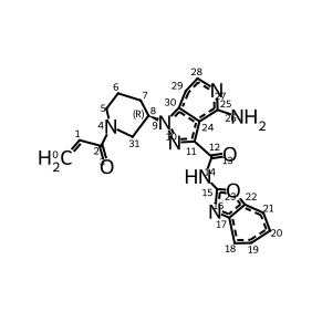 C=CC(=O)N1CCC[C@@H](n2nc(C(=O)Nc3nc4ccccc4o3)c3c(N)nccc32)C1